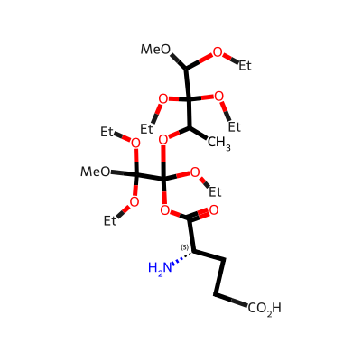 CCOC(OC)C(OCC)(OCC)C(C)OC(OCC)(OC(=O)[C@@H](N)CCC(=O)O)C(OC)(OCC)OCC